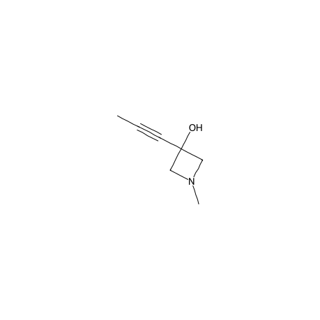 CC#CC1(O)CN(C)C1